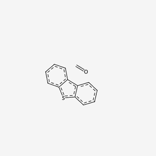 C=O.c1ccc2c(c1)sc1ccccc12